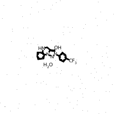 O.OC1=C2CNc3ccccc3N2[N]N1c1ccc(C(F)(F)F)cc1